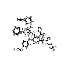 COc1ccc([C@H](NC(=O)[C@H](Cc2cccc(C#N)c2)NC(=O)c2ccccn2)C(=O)N[C@H](C(=O)C(F)(F)C(=O)NCC(F)(F)F)C(C)C)cc1